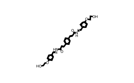 O=C(/C=C/c1ccc(/C=C/C(=O)N/N=C/c2ccc(OCCO)cc2)cc1)N/N=C/c1ccc(OCCO)cc1